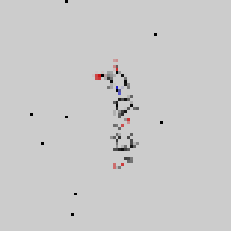 O=c1ccn(-c2ccc(OCC3CCC(CO)CC3)cc2)cc1O